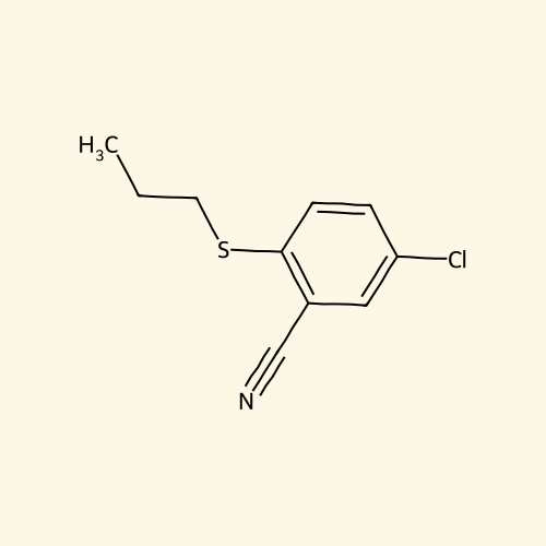 CCCSc1ccc(Cl)cc1C#N